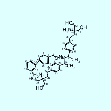 CC(C(=NOCc1ccc(-c2ccccc2)cc1)C(C)c1ccc(CCC(N)(CO)CO)cc1)c1ccc(CCC(N)(CO)CO)cc1